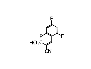 N#CC(=Cc1c(F)cc(F)cc1F)C(=O)O